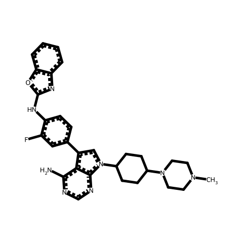 CN1CCN(C2CCC(n3cc(-c4ccc(Nc5nc6ccccc6o5)c(F)c4)c4c(N)ncnc43)CC2)CC1